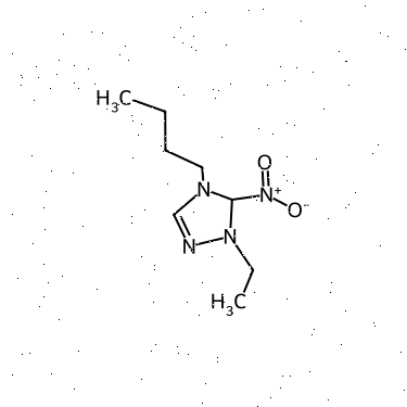 CCCCN1C=NN(CC)C1[N+](=O)[O-]